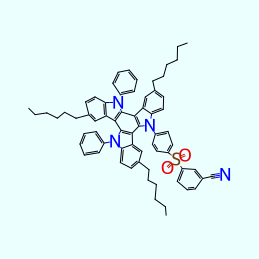 CCCCCCc1ccc2c(c1)c1c(c3c4cc(CCCCCC)ccc4n(-c4ccc(S(=O)(=O)c5cccc(C#N)c5)cc4)c3c3c4cc(CCCCCC)ccc4n(-c4ccccc4)c13)n2-c1ccccc1